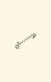 O=C(OCCCCCCCCCCCC1CCOC1=O)c1ccccc1